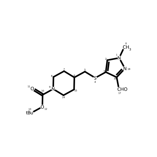 Cn1cc(SCC2CCN(C(=O)OC(C)(C)C)CC2)c(C=O)n1